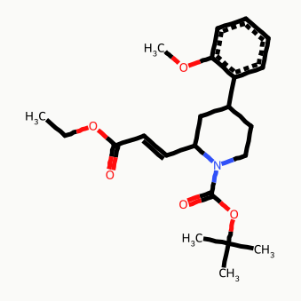 CCOC(=O)C=CC1CC(c2ccccc2OC)CCN1C(=O)OC(C)(C)C